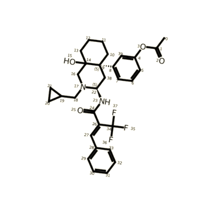 CC(=O)Oc1cccc([C@@]23CCCCC2(O)CN(CC2CC2)[C@H](NC(=O)C(=Cc2ccccc2)C(F)(F)F)C3)c1